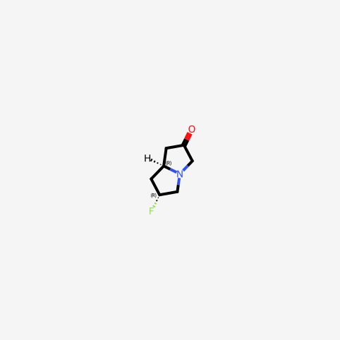 O=C1C[C@@H]2C[C@@H](F)CN2C1